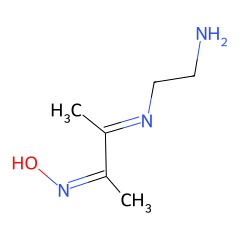 CC(=NO)C(C)=NCCN